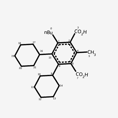 CCCCc1c(C(=O)O)c(C)c(C(=O)O)c(C2CCCCC2)c1C1CCCCC1